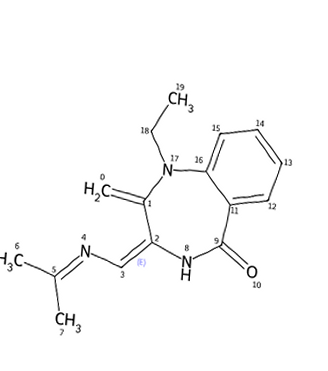 C=C1/C(=C\N=C(C)C)NC(=O)c2ccccc2N1CC